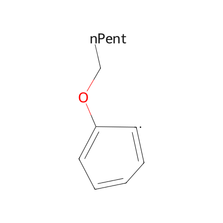 CCCCCCOc1[c]cccc1